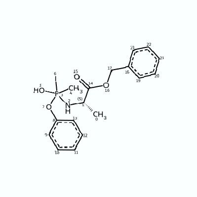 C[C@H](NP(C)(O)(I)Oc1ccccc1)C(=O)OCc1ccccc1